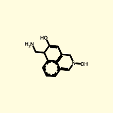 NCC1C(O)=CC2=c3c1cccc3=CN(O)C2